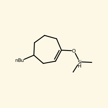 CCCCC1CC=C(O[SiH](C)C)CCC1